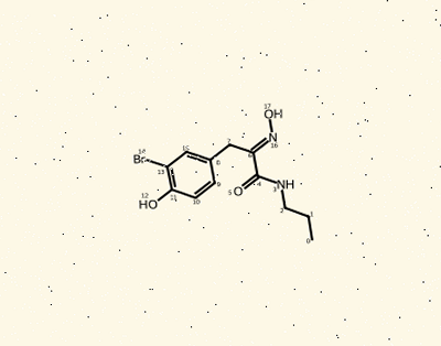 CCCNC(=O)/C(Cc1ccc(O)c(Br)c1)=N/O